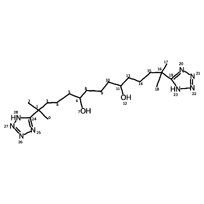 CC(C)(CCCC(O)CCCC(O)CCCC(C)(C)c1nnn[nH]1)c1nnn[nH]1